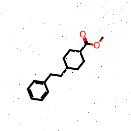 COC(=O)C1CCC(CCc2ccccc2)CC1